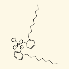 CCCCCCCCCc1ccccc1OP(=O)(Cl)Oc1ccccc1CCCCCCCCC